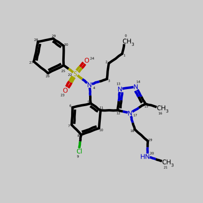 CCCCN(c1ccc(Cl)cc1-c1nnc(C)n1CCNC)S(=O)(=O)c1ccccc1